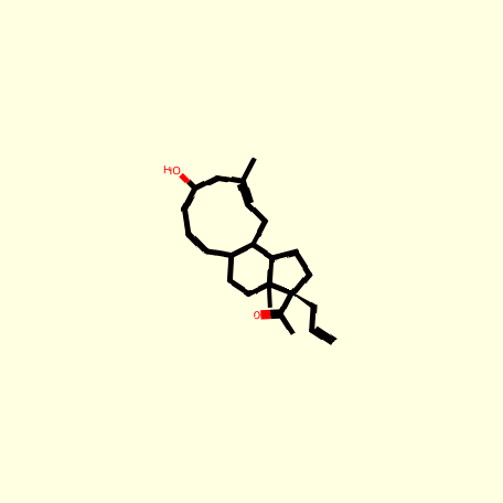 C=CC[C@]1(C(C)=O)CCC2C3C/C=C(\C)CC(O)CCCC3CCC21C